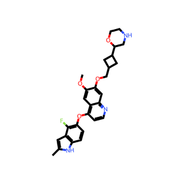 COc1cc2c(Oc3ccc4[nH]c(C)cc4c3F)ccnc2cc1OCC1CC(C2CNCCO2)C1